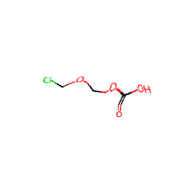 O=C(O)OCOCCl